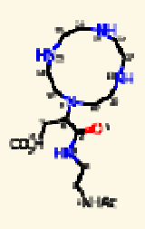 CC(=O)NCCNC(=O)C(CC(=O)O)N1CCNCCNCCNCC1